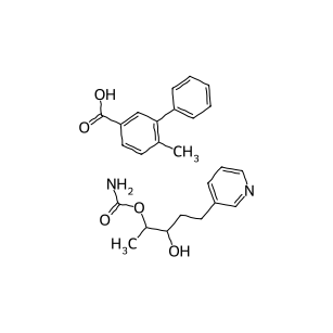 CC(OC(N)=O)C(O)CCc1cccnc1.Cc1ccc(C(=O)O)cc1-c1ccccc1